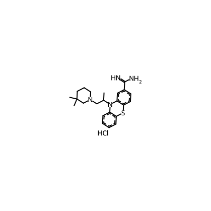 CC(CN1CCCC(C)(C)C1)N1c2ccccc2Sc2ccc(C(=N)N)cc21.Cl